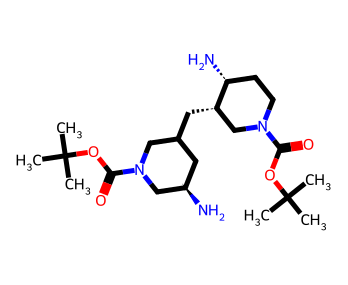 CC(C)(C)OC(=O)N1CC(C[C@H]2CN(C(=O)OC(C)(C)C)CC[C@H]2N)C[C@@H](N)C1